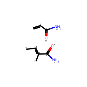 C/C=C(\C)C(N)=O.C=CC(N)=O